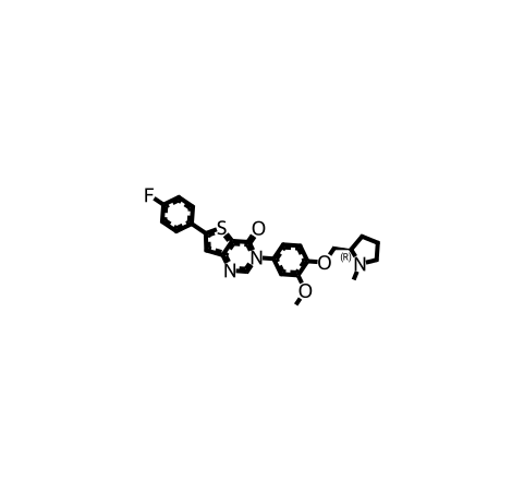 COc1cc(-n2cnc3cc(-c4ccc(F)cc4)sc3c2=O)ccc1OC[C@H]1CCCN1C